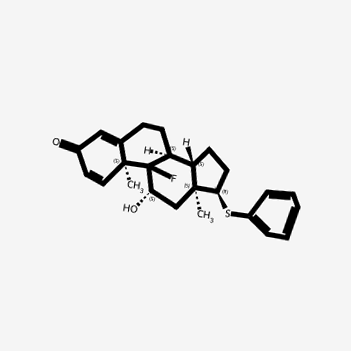 C[C@]12C[C@H](O)C3(F)[C@@H](CCC4=CC(=O)C=C[C@@]43C)[C@@H]1CC[C@H]2Sc1ccccc1